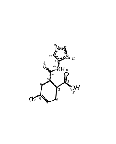 O=C(O)C1CC=C(Cl)CC1C(=O)Nc1cncs1